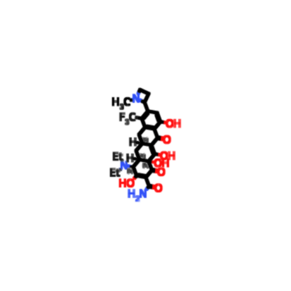 CCN(CC)[C@@H]1C(O)=C(C(N)=O)C(=O)[C@@]2(O)C(O)=C3C(=O)c4c(O)cc(C5CCN5C)c(C(F)(F)F)c4C[C@H]3C[C@@H]12